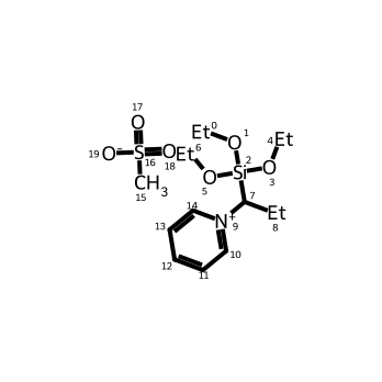 CCO[Si](OCC)(OCC)C(CC)[n+]1ccccc1.CS(=O)(=O)[O-]